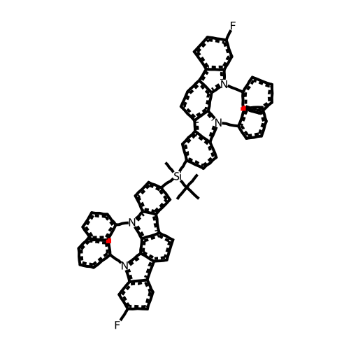 CC(C)(C)[Si](C)(c1ccc2c(c1)c1ccc3c4ccc(F)cc4n(-c4ccccc4)c3c1n2-c1ccccc1)c1ccc2c(c1)c1ccc3c4ccc(F)cc4n(-c4ccccc4)c3c1n2-c1ccccc1